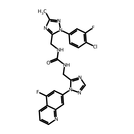 Cc1nc(CNC(=O)NCc2ncnn2-c2cc(F)c3cccnc3c2)n(-c2ccc(Cl)c(F)c2)n1